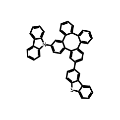 c1ccc2c(c1)-c1ccccc1-c1cc(-n3c4ccccc4c4ccccc43)ccc1-c1cc(-c3ccc4sc5ccccc5c4c3)ccc1-2